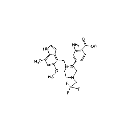 COc1cc(C)c2[nH]ccc2c1CN1CCN(CC(F)(F)F)C[C@@H]1c1ccc(C(=O)O)c(N)c1